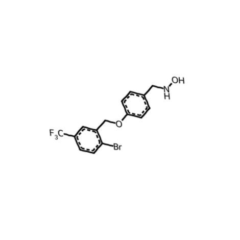 ONCc1ccc(OCc2cc(C(F)(F)F)ccc2Br)cc1